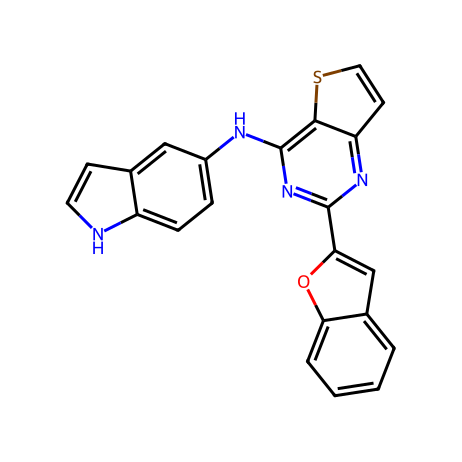 c1ccc2oc(-c3nc(Nc4ccc5[nH]ccc5c4)c4sccc4n3)cc2c1